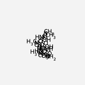 CN(C)CC(=O)Nc1cc(N(C)C)c2c(c1O)C(=O)C1=C(O)[C@]3(O)C(=O)C(C(N)=O)=C(O)[C@@H](N(C)C)[C@@]34N[C@H]4[C@@H]1C2